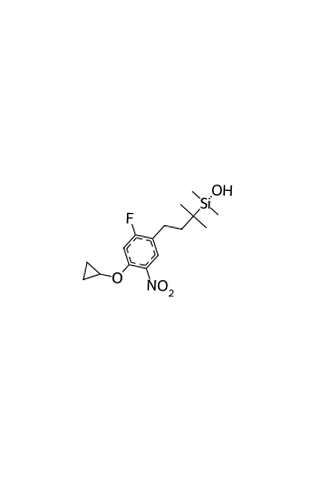 CC(C)(CCc1cc([N+](=O)[O-])c(OC2CC2)cc1F)[Si](C)(C)O